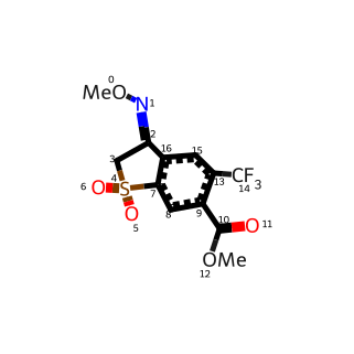 CON=C1CS(=O)(=O)c2cc(C(=O)OC)c(C(F)(F)F)cc21